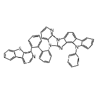 c1ccc(-n2c3ccccc3c3ccc4c(nc5n(-c6ccccc6-c6ccccc6-c6nccc7c6sc6ccccc67)c6cccnc6n45)c32)cc1